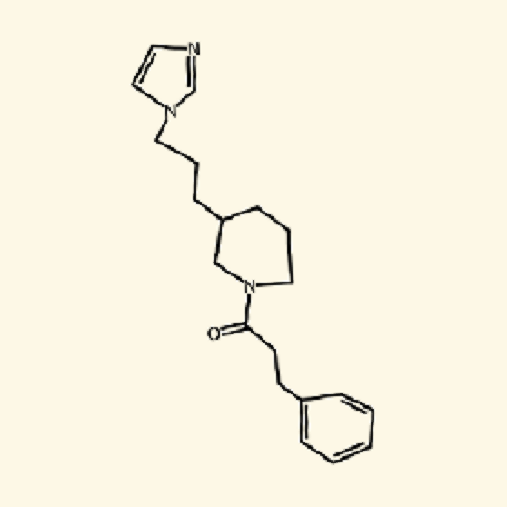 O=C(CCc1ccccc1)N1CCCC(CCCn2ccnc2)C1